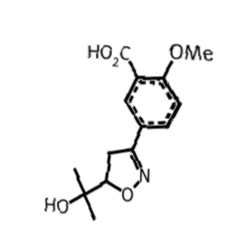 COc1ccc(C2=NOC(C(C)(C)O)C2)cc1C(=O)O